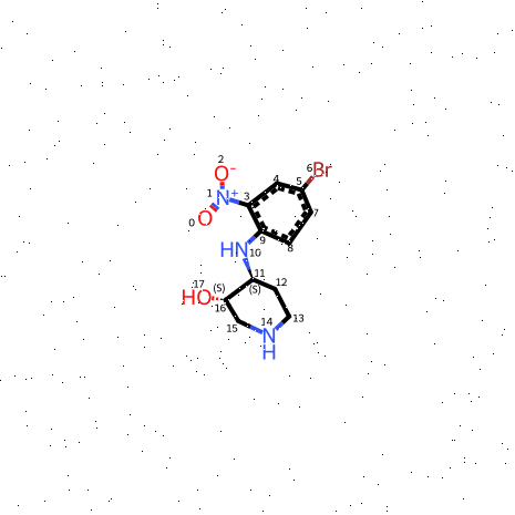 O=[N+]([O-])c1cc(Br)ccc1N[C@H]1CCNC[C@@H]1O